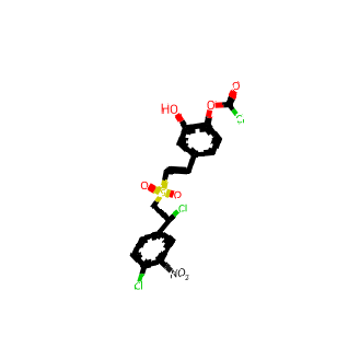 O=C(Cl)Oc1ccc(C=CS(=O)(=O)CC(Cl)c2ccc(Cl)c([N+](=O)[O-])c2)cc1O